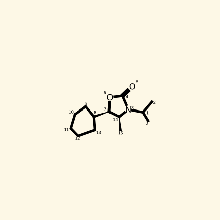 CC(C)N1C(=O)O[C@H](C2CCCCC2)[C@@H]1C